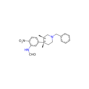 C[C@H]1CN(Cc2ccccc2)CC[C@]1(C)c1ccc([N+](=O)[O-])c(NC=O)c1